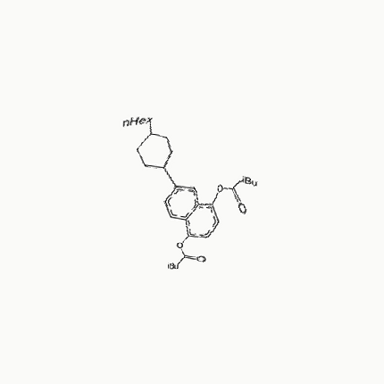 CCCCCCC1CCC(c2ccc3c(OC(=O)C(C)CC)ccc(OC(=O)C(C)CC)c3c2)CC1